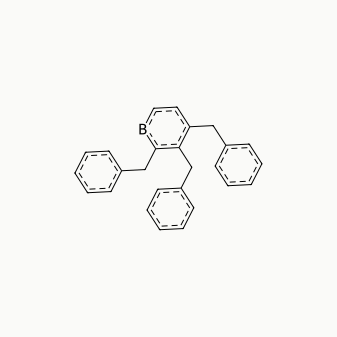 b1ccc(Cc2ccccc2)c(Cc2ccccc2)c1Cc1ccccc1